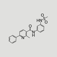 Cc1nc(-c2ccccc2)ccc1C(=O)Nc1cccc(NS(C)(=O)=O)c1